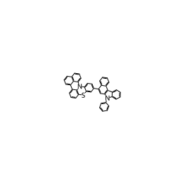 c1ccc(-n2c3ccccc3c3c4ccccc4c(-c4ccc5c(c4)sc4cccc6c4-n5c4cccc5cccc6c54)cc32)cc1